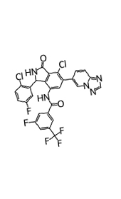 O=C(Nc1cc(-c2ccc3ncnn3c2)c(Cl)c2c1C(c1cc(F)ccc1Cl)NC2=O)c1cc(F)cc(C(F)(F)F)c1